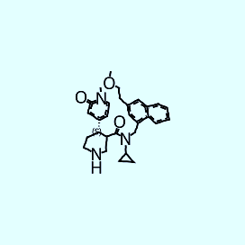 COCCc1cc(CN(C(=O)C2CNCC[C@@H]2c2ccn(C)c(=O)c2)C2CC2)c2ccccc2c1